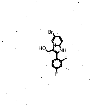 OCC1=C(c2ccc(F)cc2F)NC2C=CC(Br)=CN12